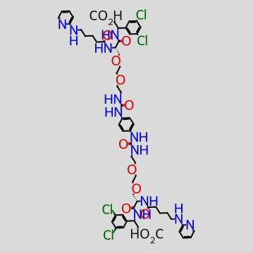 O=C(O)CC(NC(=O)[C@H](COCCOCCNC(=O)Nc1ccc(NC(=O)NCCOCCOC[C@H](NC(=O)CCCCNc2ccccn2)C(=O)NC(CC(=O)O)c2cc(Cl)cc(Cl)c2)cc1)NC(=O)CCCCNc1ccccn1)c1cc(Cl)cc(Cl)c1